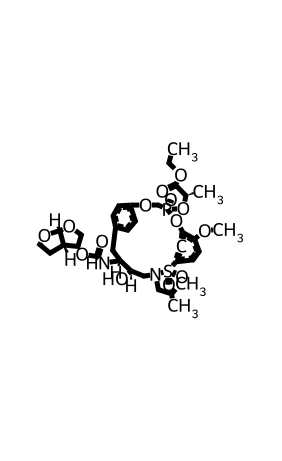 CCOC(=O)[C@H](C)OP1(=O)COc2ccc(cc2)C[C@H](NC(=O)O[C@H]2CO[C@H]3OCC[C@H]32)[C@H](O)CN(CC(C)C)S(=O)(=O)c2ccc(OC)c(c2)O1